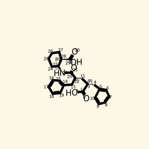 O=C(O)[C@@H](Cc1ccccc1)C[C@H](Cc1ccccc1)C(=O)N[C@H]1CCCC[C@H]1C(=O)O